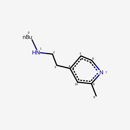 CCCCNCCc1ccnc(C)c1